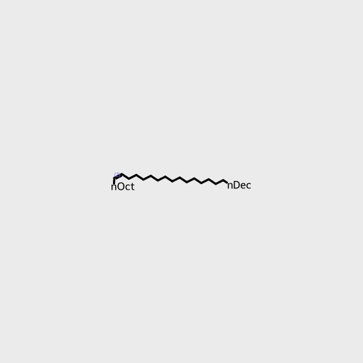 CCCCCCCC/C=C\CCCCCCCCCCCCCCCCCCCCCCCC